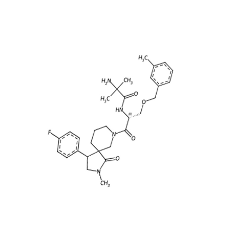 Cc1cccc(COC[C@@H](NC(=O)C(C)(C)N)C(=O)N2CCCC3(C2)C(=O)N(C)CC3c2ccc(F)cc2)c1